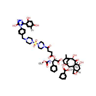 CC(=O)O[C@@]12CO[C@@H]1C[C@H](O)[C@@]1(C)C(=O)[C@H](O)C3=C(C)[C@@H](OC(=O)[C@H](OC(=O)CCC(=O)N4CCN(S(=O)(=O)N5CCN(Cc6ccc(-n7c(O)nnc7-c7cc(C(C)C)c(O)cc7O)cc6)CC5)CC4)[C@@H](NC(=O)OC(C)(C)C)c4ccccc4)C[C@](O)(C3)[C@@H](OC(=O)c3ccccc3)[C@H]21